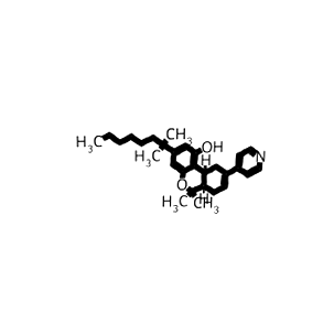 CCCCCCC(C)(C)c1cc(O)c2c(c1)OC(C)(C)[C@@H]1CC=C(c3ccncc3)C[C@@H]21